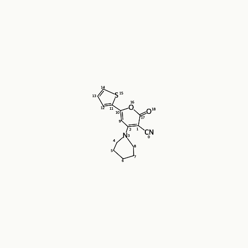 N#Cc1c(N2CCCCC2)cc(-c2cccs2)oc1=O